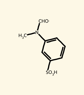 CN([C]=O)c1cccc(S(=O)(=O)O)c1